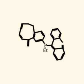 C=C1/C=C\C=C/CCc2ccc(P(CC)/C(c3ccccc3C)=c3\ccccc3=C)cc21